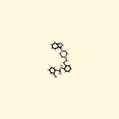 O=C(Nc1ccccc1CCN1CCN(c2nsc3ccccc23)CC1)c1ccccc1Br